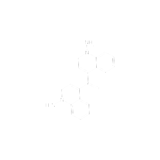 NN1CC=C(C(=O)C2=CCN(N)c3ccccc32)c2ccccc21